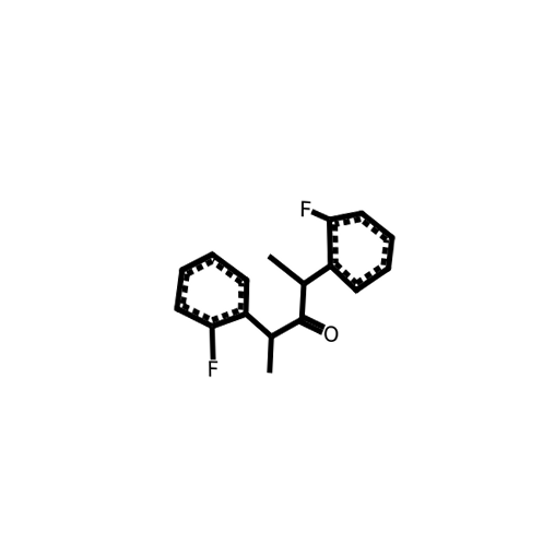 CC(C(=O)C(C)c1ccccc1F)c1ccccc1F